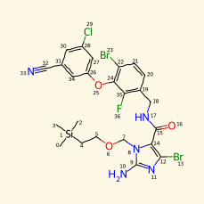 C[Si](C)(C)CCOCn1c(N)nc(Br)c1C(=O)NCc1ccc(Br)c(Oc2cc(Cl)cc(C#N)c2)c1F